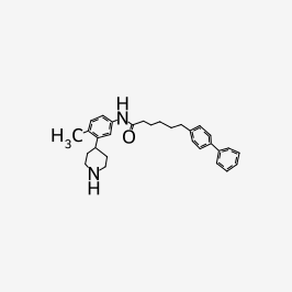 Cc1ccc(NC(=O)CCCCCc2ccc(-c3ccccc3)cc2)cc1C1CCNCC1